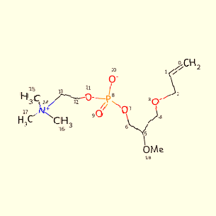 C=CCOCC(COP(=O)([O-])OCC[N+](C)(C)C)OC